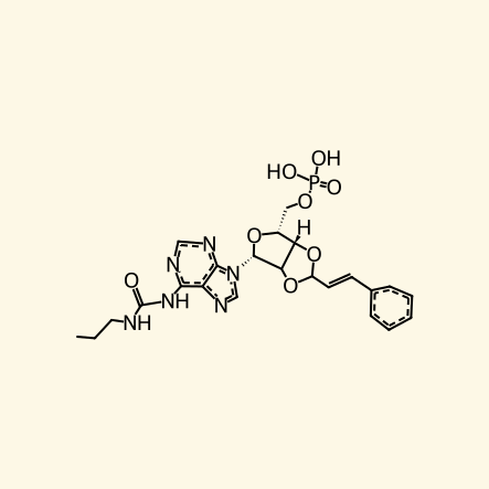 CCCNC(=O)Nc1ncnc2c1ncn2[C@@H]1O[C@H](COP(=O)(O)O)[C@@H]2OC(/C=C/c3ccccc3)OC21